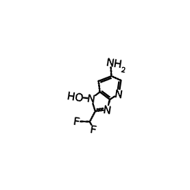 Nc1cnc2nc(C(F)F)n(O)c2c1